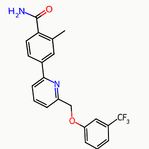 Cc1cc(-c2cccc(COc3cccc(C(F)(F)F)c3)n2)ccc1C(N)=O